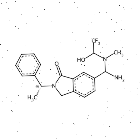 C[C@H](c1ccccc1)N1Cc2ccc(C(N)N(C)C(O)C(F)(F)F)cc2C1=O